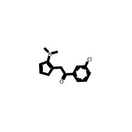 CN(C)C1=C(CC(=O)c2cccc(Cl)c2)CC=C1